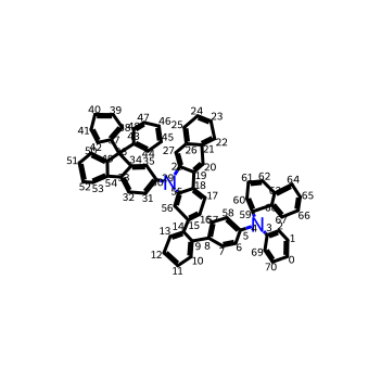 c1ccc(N(c2ccc(-c3ccccc3-c3ccc4c5cc6ccccc6cc5n(-c5ccc6c(c5)C(c5ccccc5)(c5ccccc5)c5ccccc5-6)c4c3)cc2)c2cccc3ccccc23)cc1